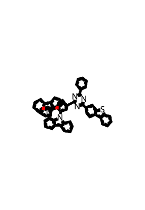 c1ccc(-c2nc(-c3ccc(-c4ccccc4)c(-n4c5ccccc5c5cccc(-n6c7ccccc7c7ccccc76)c54)c3)nc(-c3ccc4c(c3)sc3ccccc34)n2)cc1